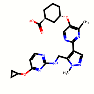 Cc1nc(-c2cnn(C)c2CNc2nccc(OC3CC3)n2)ncc1O[C@H]1CCC[C@H](C(=O)O)C1